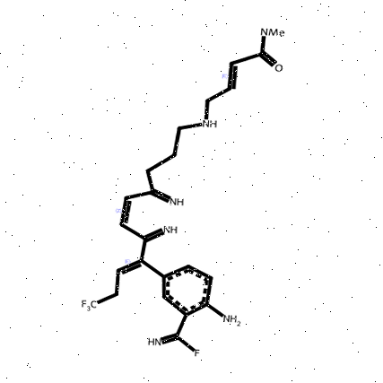 CNC(=O)/C=C/CNCCCC(=N)/C=C\C(=N)/C(=C/CC(F)(F)F)c1ccc(N)c(C(=N)F)c1